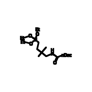 CCCCCCC[CH]CCC(=O)NCC(C)(C)CC[Si](OCC)(OCC)OCC